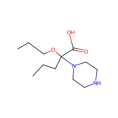 CCCOC(CCC)(C(=O)O)N1CCNCC1